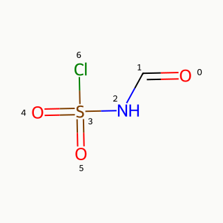 O=CNS(=O)(=O)Cl